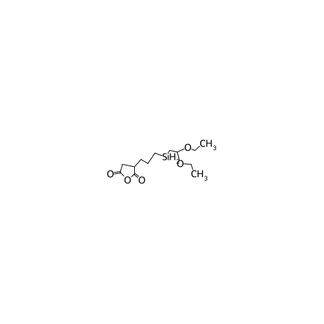 CCOC(C[SiH2]CCCC1CC(=O)OC1=O)OCC